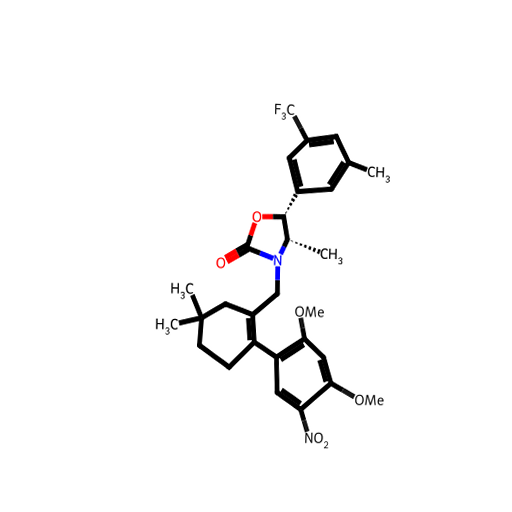 COc1cc(OC)c([N+](=O)[O-])cc1C1=C(CN2C(=O)O[C@H](c3cc(C)cc(C(F)(F)F)c3)[C@@H]2C)CC(C)(C)CC1